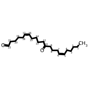 CCCCC/C=C\CCCC(=O)CCCC/C=C\CCCCC=O